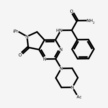 CC(=O)N1CCN(c2nc(NC(C(N)=O)c3ccccc3)c3c(n2)C(=O)N(C(C)C)C3)CC1